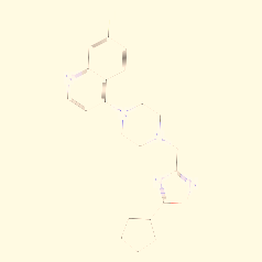 Clc1ccc2c(N3CCN(Cc4noc(C5CCCC5)n4)CC3)ccnc2c1